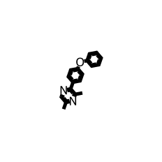 Cc1cnc(-c2ccc(Oc3ccccc3)cc2)c(C)n1